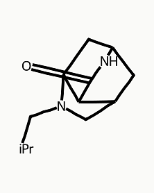 CC(C)CN1CC2CC3CC1C2C(=O)N3